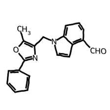 Cc1oc(-c2ccccc2)nc1Cn1ccc2c(C=O)cccc21